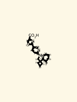 O=C(O)c1csc(-c2ccc(NCC3(c4ncccc4F)CCC3)nn2)n1